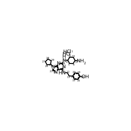 Cl.Cl.NC1CCC(Nc2nc(NCCc3ccc(O)cc3)c3ncn(C4CCCC4)c3n2)CC1